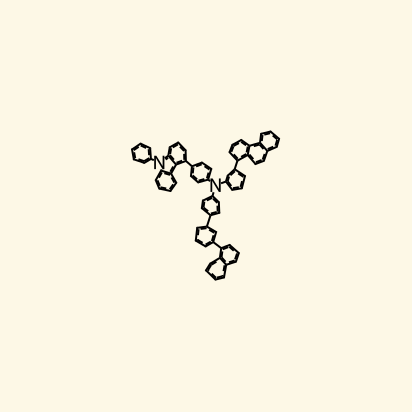 c1ccc(-n2c3ccccc3c3c(-c4ccc(N(c5ccc(-c6cccc(-c7cccc8ccccc78)c6)cc5)c5cccc(-c6cccc7c6ccc6ccccc67)c5)cc4)cccc32)cc1